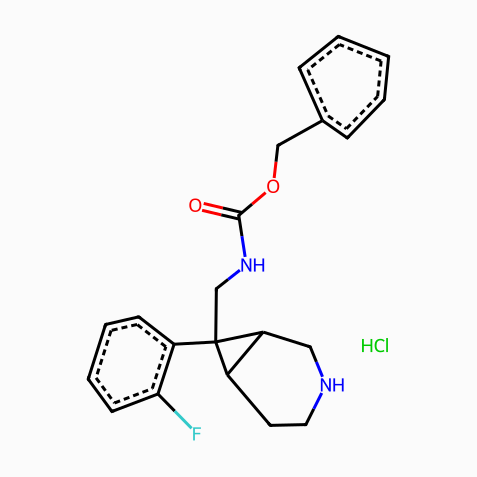 Cl.O=C(NCC1(c2ccccc2F)C2CCNCC21)OCc1ccccc1